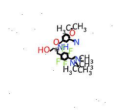 CC(C)Oc1ccc(C(=O)N[C@H](CCO)Cc2c(F)c(F)c(-c3cn(C)c(C(C)(C)C)n3)c(F)c2F)cc1C#N